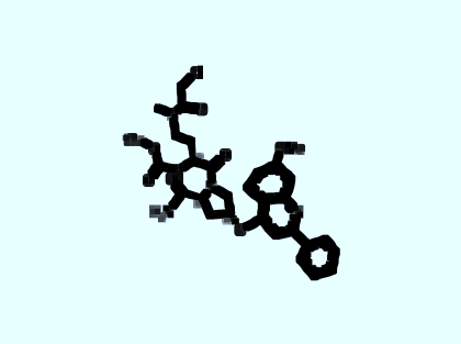 COc1ccc2c(O[C@@H]3C[C@@H](C(N)=O)N(C(=O)[C@H](CCN(C)C(=O)CCl)NC(=O)OC(C)(C)C)C3)cc(-c3ccccc3)nc2c1